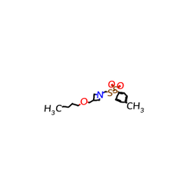 CCCCCOCC1CN(CSS(=O)(=O)c2ccc(C)cc2)C1